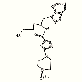 CCCCC(Cc1onc2ccccc12)NC(=O)c1cnc(N2CCN(C)CC2)s1